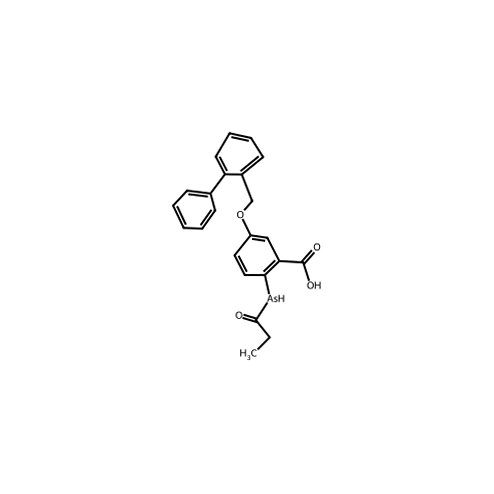 CCC(=O)[AsH]c1ccc(OCc2ccccc2-c2ccccc2)cc1C(=O)O